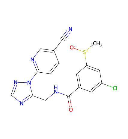 C[S+]([O-])c1cc(Cl)cc(C(=O)NCc2ncnn2-c2ccc(C#N)cn2)c1